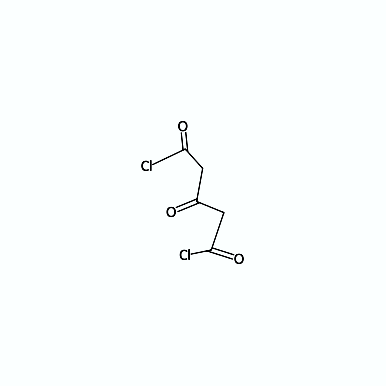 O=C(Cl)CC(=O)CC(=O)Cl